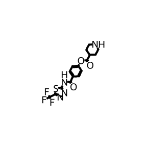 O=C(Nc1nnc(C(F)(F)F)s1)c1ccc(OC(=O)C2CCNCC2)cc1